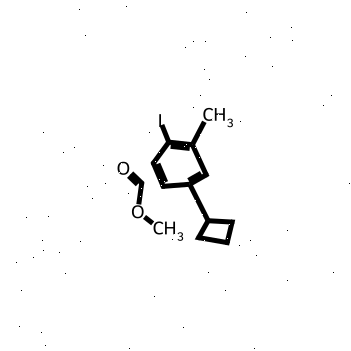 COC=O.Cc1cc(C2CCC2)ccc1I